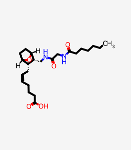 CCCCCCC(=O)NCC(=O)NC[C@@H]1[C@H](C/C=C\CCCC(=O)O)[C@@H]2CC[C@H]1O2